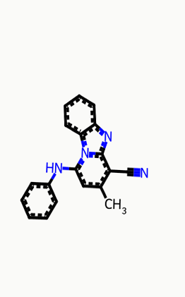 Cc1cc(Nc2ccccc2)n2c(nc3ccccc32)c1C#N